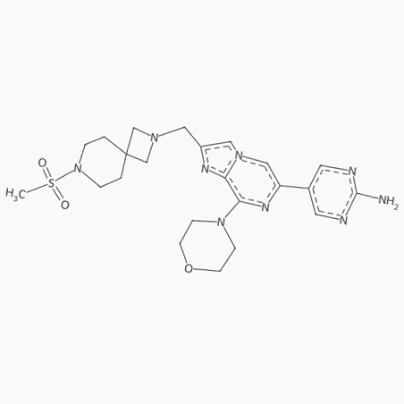 CS(=O)(=O)N1CCC2(CC1)CN(Cc1cn3cc(-c4cnc(N)nc4)nc(N4CCOCC4)c3n1)C2